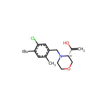 C=C(O)[C@@H]1COCCN1Cc1cc(Cl)c(C(C)(C)C)cc1C